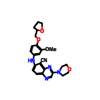 COc1cc(Nc2ccc3ncc(N4CCOCC4)nc3c2C#N)ccc1OCC1CCCO1